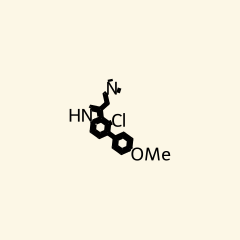 COc1ccc(-c2ccc3[nH]cc(CCN(C)C)c3c2Cl)cc1